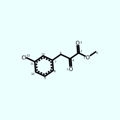 COC(=O)C(=O)Cc1cccc(Cl)c1